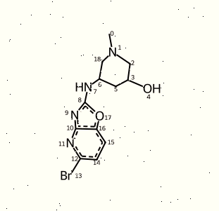 CN1CC(O)CC(Nc2nc3nc(Br)ccc3o2)C1